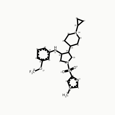 Cn1cnc(S(=O)(=O)N2CC(Nc3cccc(OC(F)(F)F)c3)C(C3CCN(C4CC4)CC3)C2)c1